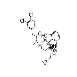 CN(C(=O)Cc1ccc(Cl)c(Cl)c1)[C@H]1CC[C@@]2(O)[C@H]3Cc4cccc5c4[C@@]2(CCN3CC2CC2)[C@H]1O5